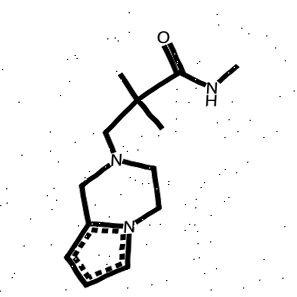 CNC(=O)C(C)(C)CN1CCn2cccc2C1